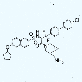 NC1C2CN(C(=O)[C@@H](NS(=O)(=O)c3ccc4cc(OC5CCCC5)ccc4c3)C(F)(F)c3ccc(-c4ccc(Cl)cc4)cc3)CC3CC312